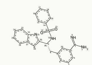 N=C(N)c1cccc(C[C@@H](NS(=O)(=O)c2ccccc2)c2nc3ccccc3s2)c1